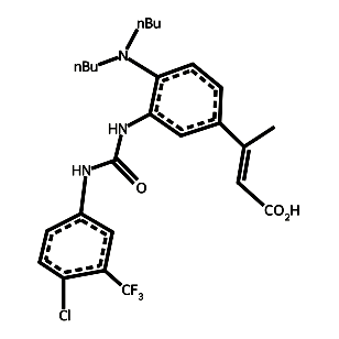 CCCCN(CCCC)c1ccc(/C(C)=C/C(=O)O)cc1NC(=O)Nc1ccc(Cl)c(C(F)(F)F)c1